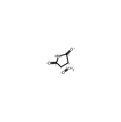 C=O.O=C1CCC(=O)N1